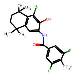 CC1(C)CCC(C)(C)c2c1cc(NC(=O)c1cc(F)c(C(=O)O)c(F)c1)c(O)c2Br